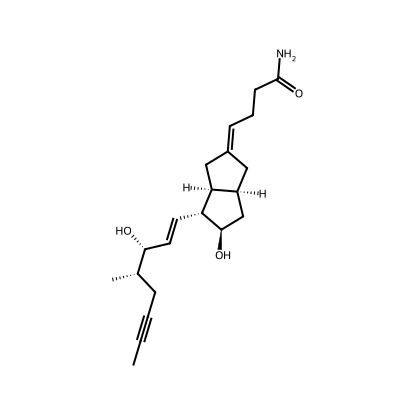 CC#CC[C@H](C)[C@H](O)/C=C/[C@@H]1[C@H]2C/C(=C/CCC(N)=O)C[C@H]2C[C@H]1O